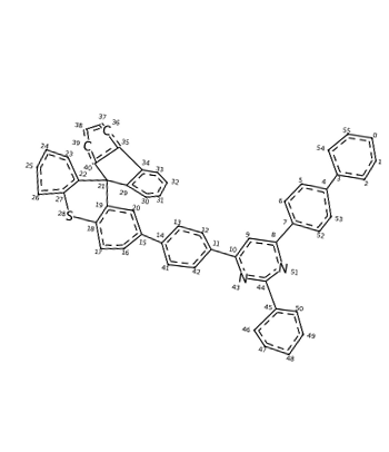 c1ccc(-c2ccc(-c3cc(-c4ccc(-c5ccc6c(c5)C5(c7ccccc7S6)c6ccccc6-c6ccccc65)cc4)nc(-c4ccccc4)n3)cc2)cc1